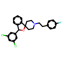 Fc1ccc(CCN2CCC3(CC2)OC(c2cc(Cl)cc(Cl)c2)c2ccccc23)cc1